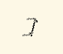 C=CP(OCCCCC)OCCCCCCCCOP(C=C)OCCCCC